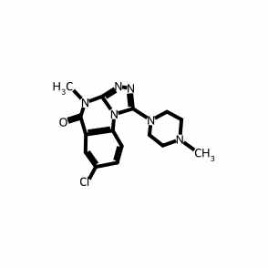 CN1CCN(c2nnc3n(C)c(=O)c4cc(Cl)ccc4n23)CC1